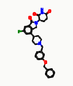 O=C1CCC(N2Cc3c(cc(F)cc3C3CCN(Cc4cccc(OCc5ccccc5)c4)CC3)C2=O)C(=O)N1